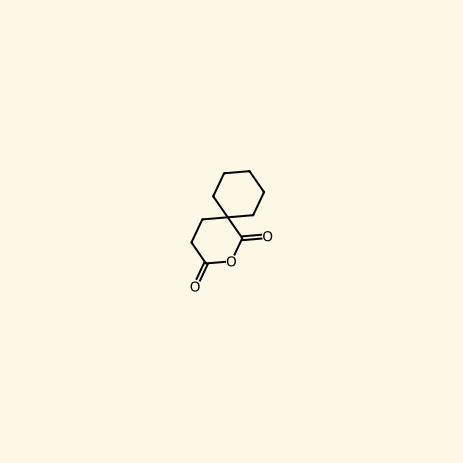 O=C1CCC2(CCCCC2)C(=O)O1